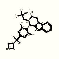 C[C@@H]1Cc2c([nH]c3ccccc23)[C@@H](c2c(F)cc(C(F)(F)C3CNC3)cc2F)N1CC(C)(C)F